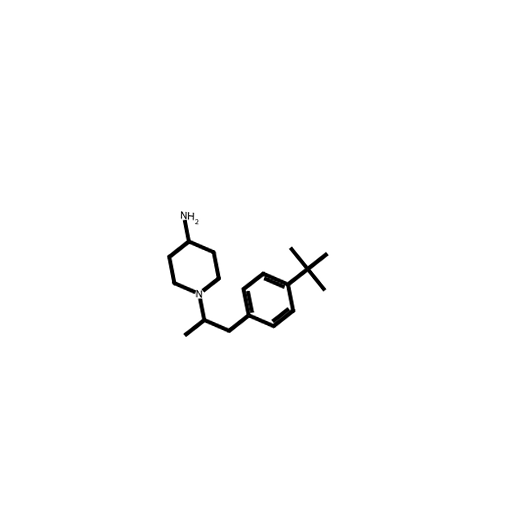 CC(Cc1ccc(C(C)(C)C)cc1)N1CCC(N)CC1